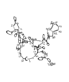 CC(C)(C)OC(=O)N[C@H]1CCCCC/C=C\[C@@H]2C[C@@]2(C(=O)NS(=O)(=O)c2ccc(Cl)cc2Cl)NC(=O)[C@@H]2C[C@@H](OC(=O)N3Cc4cccc(F)c4C3)CN2C1=O